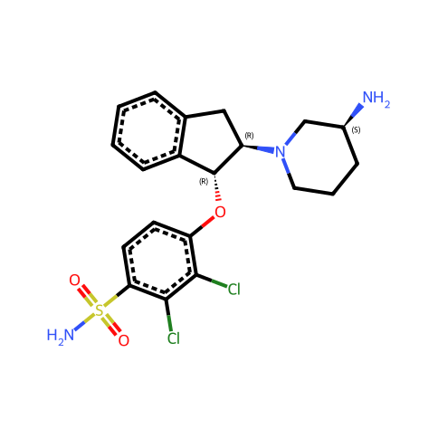 N[C@H]1CCCN([C@@H]2Cc3ccccc3[C@H]2Oc2ccc(S(N)(=O)=O)c(Cl)c2Cl)C1